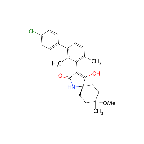 CO[C@]1(C)CC[C@@]2(CC1)NC(=O)C(c1c(C)ccc(-c3ccc(Cl)cc3)c1C)=C2O